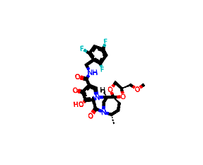 COC[C@@H]1CO[C@]2(CC[C@H](C)N3C[C@H]2n2cc(C(=O)NCc4c(F)cc(F)cc4F)c(=O)c(O)c2C3=O)O1